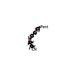 CCCCCC1COC(C2CCC(C3CCC(C(F)(F)Oc4cc(F)c(-c5cc(F)c(C#N)c(F)c5)c(F)c4)CC3)CC2)OC1